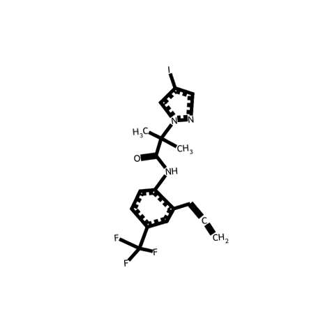 C=C=Cc1cc(C(F)(F)F)ccc1NC(=O)C(C)(C)n1cc(I)cn1